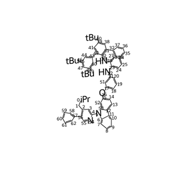 CC(C)Cc1cc(-n2c3ccccc3c3ccc(Oc4cccc(Nc5ccccc5Nc5c(-c6ccccc6)cc(C(C)(C)C)cc5-c5cc(C(C)(C)C)cc(C(C)(C)C)c5)c4)cc32)ncc1-c1ccccc1